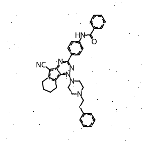 N#Cc1c2nc(-c3ccc(NC(=O)c4ccccc4)cc3)nn(N3CCN(CCc4ccccc4)CC3)c-2c2c1CCCC2